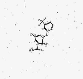 CC(C)(C)c1cccc(Cn2cc(Cl)cc(C(N)=O)c2=N)c1